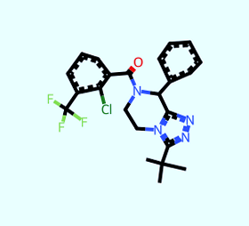 CC(C)(C)c1nnc2n1CCN(C(=O)c1cccc(C(F)(F)F)c1Cl)C2c1ccccc1